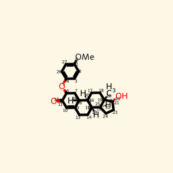 COc1ccc(OC2C[C@H]3C(=CC2=O)CC[C@@H]2[C@@H]3CC[C@]3(C)[C@@H](O)CC[C@@H]23)cc1